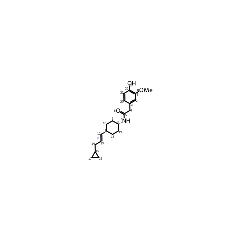 COc1cc(CC(=O)N[C@H]2CC[C@H](/C=C/CC3CC3)CC2)ccc1O